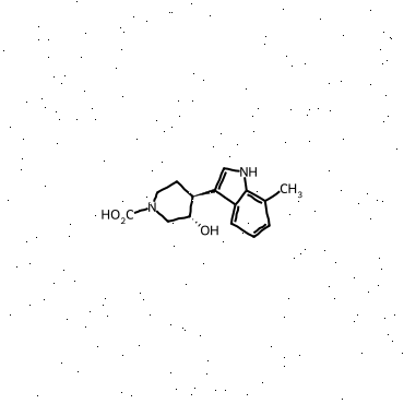 Cc1cccc2c([C@@H]3CCN(C(=O)O)C[C@H]3O)c[nH]c12